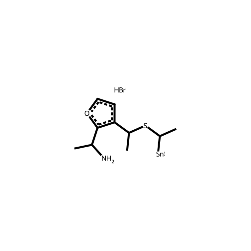 Br.C[CH]([Sn])SC(C)c1ccoc1C(C)N